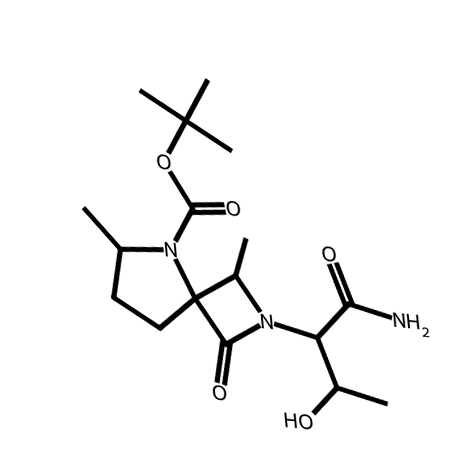 CC(O)C(C(N)=O)N1C(=O)C2(CCC(C)N2C(=O)OC(C)(C)C)C1C